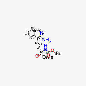 COC(=O)[C@H](CCCc1c(N)ncc2ccccc12)NC(=O)OC(C)(C)C